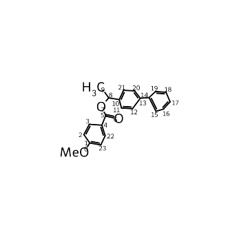 COc1ccc(C(=O)OC(C)c2ccc(-c3ccccc3)cc2)cc1